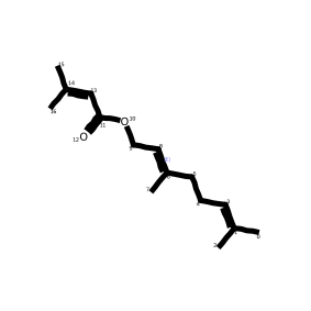 CC(C)=CCC/C(C)=C/COC(=O)C=C(C)C